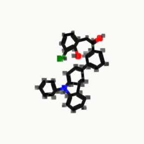 O=C1Cc2cccc(Br)c2Oc2c1cccc2-c1ccc2c(c1)c1ccccc1n2-c1ccccc1